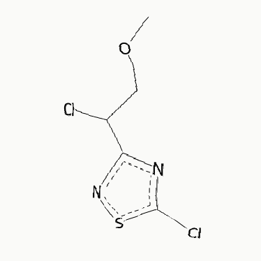 COCC(Cl)c1nsc(Cl)n1